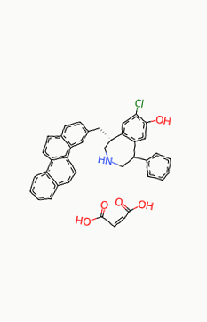 O=C(O)/C=C\C(=O)O.Oc1cc2c(cc1Cl)[C@@H](Cc1ccc3ccc4c5ccccc5ccc4c3c1)CNCC2c1ccccc1